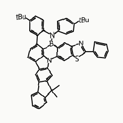 CC(C)(C)c1ccc(N2B3c4cc5nc(-c6ccccc6)sc5cc4-n4c5cc6c(cc5c5ccc(c3c54)-c3cc(C(C)(C)C)ccc32)-c2ccccc2C6(C)C)cc1